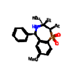 CCCC[C@@]1(CC)N[C@H](c2ccccc2)c2cc(OC)ccc2S(=O)(=O)C1C(C)=O